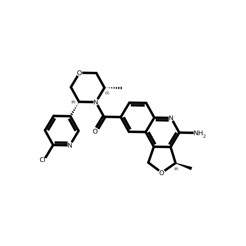 C[C@H]1OCc2c1c(N)nc1ccc(C(=O)N3[C@@H](C)COC[C@H]3c3ccc(Cl)nc3)cc21